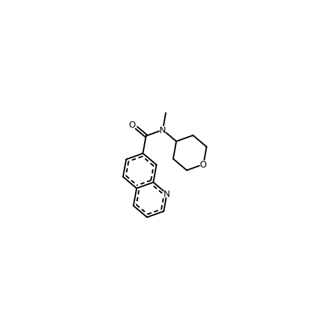 CN(C(=O)c1ccc2cccnc2c1)C1CCOCC1